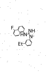 CCc1cccc(N(C)C(=N)Nc2cccc3c(F)cccc23)c1